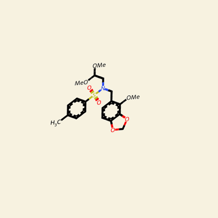 COc1c(CN(CC(OC)OC)S(=O)(=O)c2ccc(C)cc2)ccc2c1OCO2